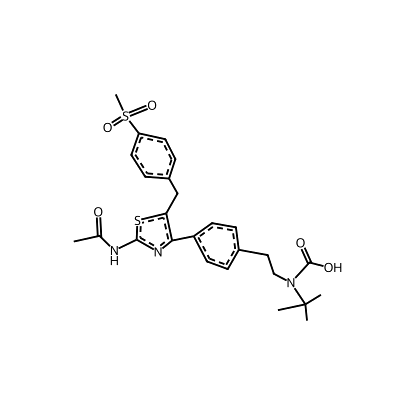 CC(=O)Nc1nc(-c2ccc(CCN(C(=O)O)C(C)(C)C)cc2)c(Cc2ccc(S(C)(=O)=O)cc2)s1